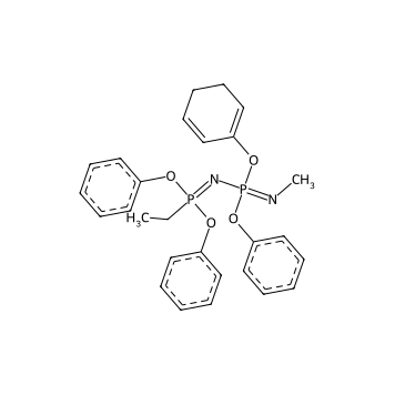 CCP(=NP(=NC)(OC1=CCCC=C1)Oc1ccccc1)(Oc1ccccc1)Oc1ccccc1